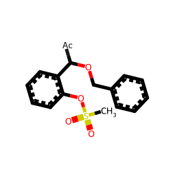 CC(=O)C(OCc1ccccc1)c1ccccc1OS(C)(=O)=O